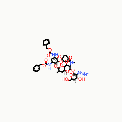 CC1C[C@@H]2OC(O[C@H]3OC(CO)[C@@H](C)[C@H](O)C3N=[N+]=[N-])C3C(OC(=O)N3C)C2O[C@@H]1O[C@@H]1C(NC(=O)OCc2ccccc2)C[C@@H](NC(=O)OCc2ccccc2)C2OC3(CCCCC3)O[C@H]21